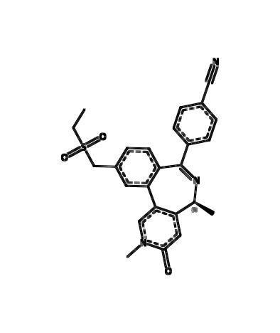 CCS(=O)(=O)Cc1ccc2c(c1)-c1cn(C)c(=O)cc1[C@H](C)N=C2c1ccc(C#N)cc1